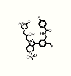 CS(=O)(=O)N1CCc2c(c(-c3ccc(CF)c(CNC(=O)c4ccc(F)cc4)c3)nn2CC(O)CN2CNC(=O)C2)C1